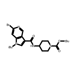 CCC(C)n1cc(C(=O)NC2CCN(C(=O)OC(C)(C)C)CC2)c2cnc(Br)cc21